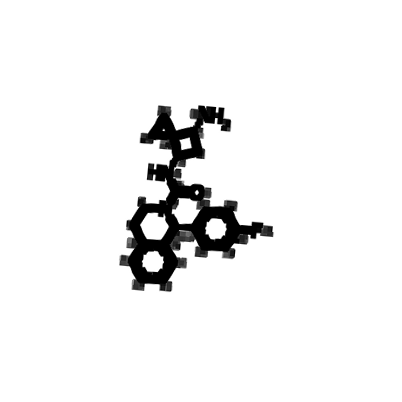 N[C@@H]1C[C@H](NC(=O)N2CCc3ccccc3[C@@H]2c2ccc(F)cc2)C12CC2